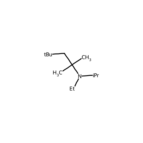 CCN(C(C)C)C(C)(C)CC(C)(C)C